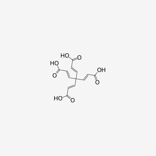 O=C(O)C=CC(C=CC(=O)O)(C=CC(=O)O)C=CC(=O)O